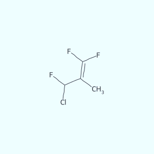 CC(=C(F)F)C(F)Cl